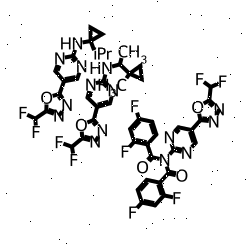 CC(C)C1(Nc2ncc(-c3nnc(C(F)F)o3)cn2)CC1.CC(Nc1ncc(-c2nnc(C(F)F)o2)cn1)C1(C)CC1.O=C(c1ccc(F)cc1F)N(C(=O)c1ccc(F)cc1F)c1ncc(-c2nnc(C(F)F)o2)cn1